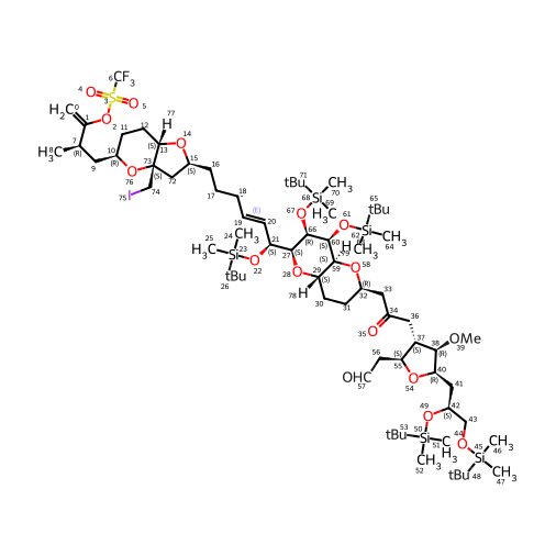 C=C(OS(=O)(=O)C(F)(F)F)[C@H](C)C[C@H]1CC[C@@H]2O[C@@H](CC[CH]/C=C/[C@H](O[Si](C)(C)C(C)(C)C)[C@@H]3O[C@H]4CC[C@H](CC(=O)C[C@@H]5[C@@H](OC)[C@@H](C[C@@H](CO[Si](C)(C)C(C)(C)C)O[Si](C)(C)C(C)(C)C)O[C@H]5CC=O)O[C@@H]4[C@H](O[Si](C)(C)C(C)(C)C)[C@@H]3O[Si](C)(C)C(C)(C)C)C[C@]2(CI)O1